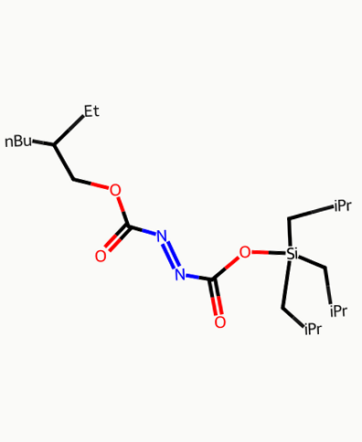 CCCCC(CC)COC(=O)/N=N/C(=O)O[Si](CC(C)C)(CC(C)C)CC(C)C